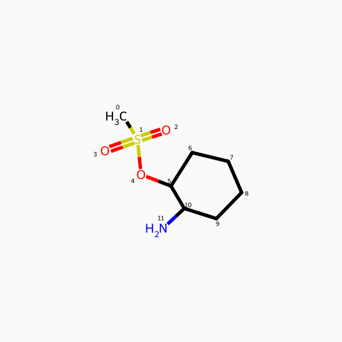 CS(=O)(=O)OC1CCCCC1N